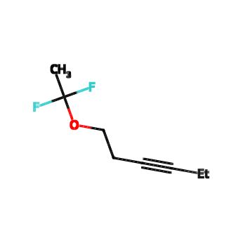 CCC#CCCOC(C)(F)F